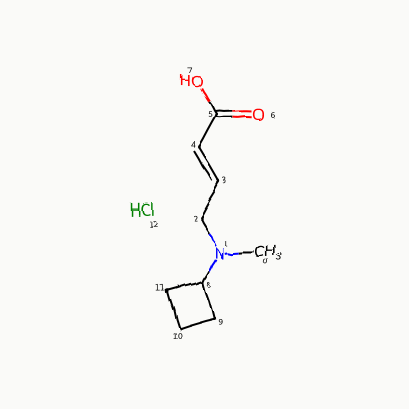 CN(CC=CC(=O)O)C1CCC1.Cl